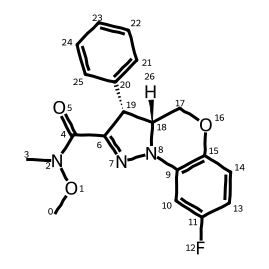 CON(C)C(=O)C1=NN2c3cc(F)ccc3OC[C@H]2[C@H]1c1ccccc1